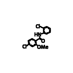 COc1cc(Cl)ccc1C(=O)Nc1ccccc1Cl